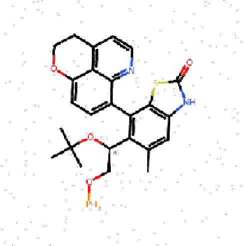 Cc1cc2[nH]c(=O)sc2c(-c2ccc3c4c(ccnc24)CCO3)c1[C@@H](COP)OC(C)(C)C